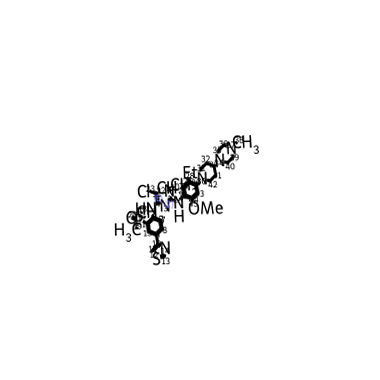 C=N/C(=N\C(Nc1ccc(-c2cscn2)cc1P(C)(C)=O)=C(/C)Cl)Nc1cc(CC)c(N2CCC(N3CCN(C)CC3)CC2)cc1OC